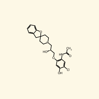 CC(=O)Nc1cc(Cl)c(O)cc1OC[C@@H](O)CN1CCC2(CC1)Cc1ccccc1O2